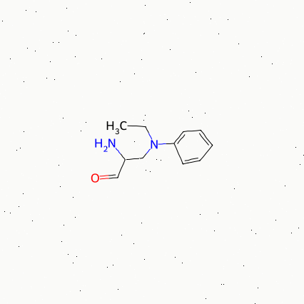 CCN(CC(N)C=O)c1ccccc1